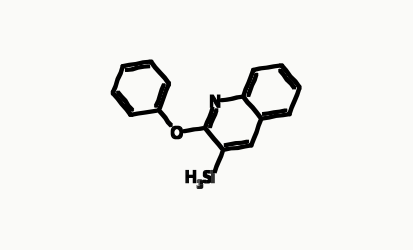 [SiH3]c1cc2ccccc2nc1Oc1ccccc1